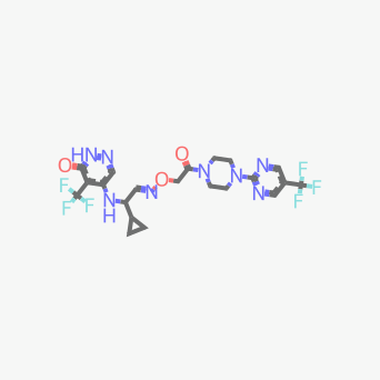 O=C(CO/N=C/C(Nc1cn[nH]c(=O)c1C(F)(F)F)C1CC1)N1CCN(c2ncc(C(F)(F)F)cn2)CC1